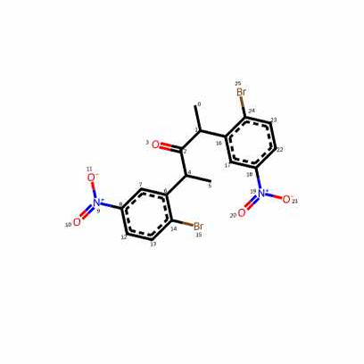 CC(C(=O)C(C)c1cc([N+](=O)[O-])ccc1Br)c1cc([N+](=O)[O-])ccc1Br